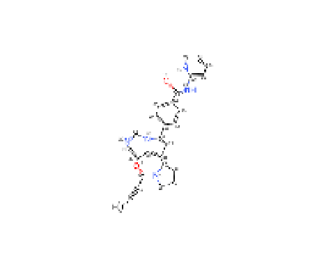 CC#CC(=O)N1CCCC1c1cc(-c2ccc(C(=O)Nc3ccccn3)cc2)n2cnccc12